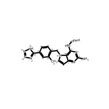 CCCCCNc1nc(N)nc2ccn(Cc3ccc(-c4nnn[nH]4)cc3C)c12